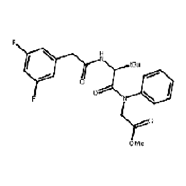 COC(=O)CN(C(=O)[C@@H](NC(=O)Cc1cc(F)cc(F)c1)C(C)(C)C)c1ccccc1